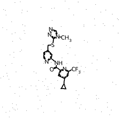 Cn1cnnc1SCc1ccnc(NC(=O)c2cc(C3CC3)cc(C(F)(F)F)n2)c1